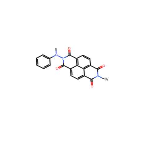 CC(C)N1C(=O)c2ccc3c4c(ccc(c24)C1=O)C(=O)N(N(C)c1ccccc1)C3=O